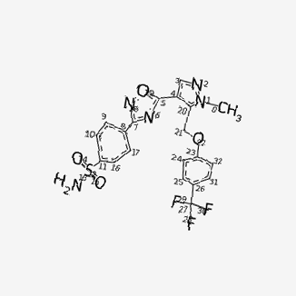 Cn1ncc(-c2nc(-c3ccc(S(N)(=O)=O)cc3)no2)c1COc1ccc(C(F)(F)F)cc1